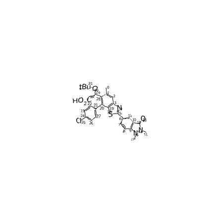 Cc1cc2nc(-c3ccc4c(c3)c(=O)n(C)n4C)sc2c(-c2ccc(Cl)cc2)c1[C@H](OC(C)(C)C)C(=O)O